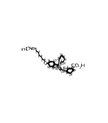 CCCCCCCCCCCCCCCCOc1ccc(C(NNCc2cccc(C(=O)O)c2)N2CCCCC2)cc1